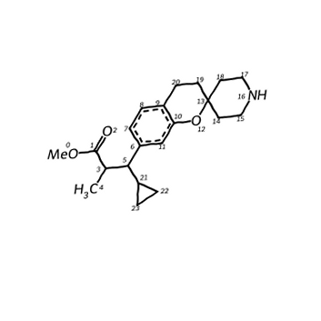 COC(=O)C(C)C(c1ccc2c(c1)OC1(CCNCC1)CC2)C1CC1